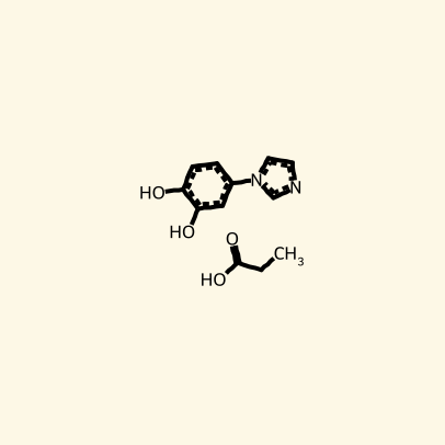 CCC(=O)O.Oc1ccc(-n2ccnc2)cc1O